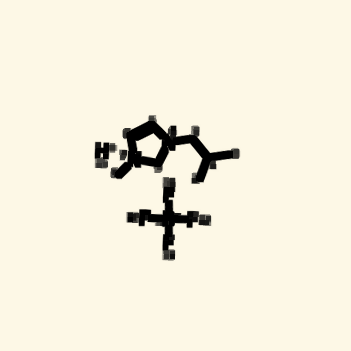 CC(C)CN1C=CN(C)C1.F[B-](F)(F)F.[H+]